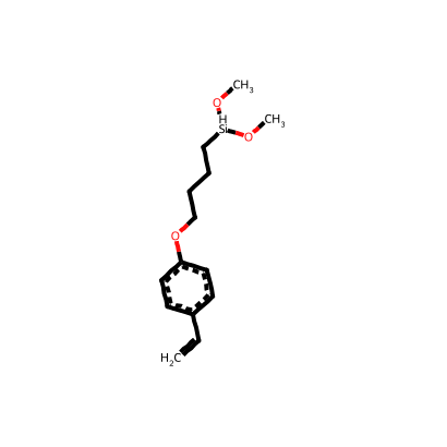 C=Cc1ccc(OCCCC[SiH](OC)OC)cc1